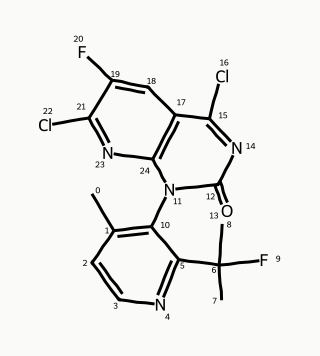 Cc1ccnc(C(C)(C)F)c1-n1c(=O)nc(Cl)c2cc(F)c(Cl)nc21